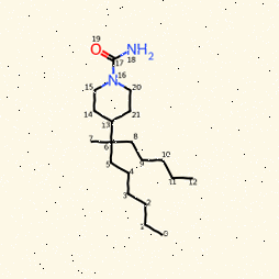 CCCCCCC(C)(CCCCC)C1CCN(C(N)=O)CC1